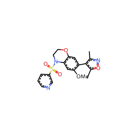 COc1cc2c(cc1-c1c(C)noc1C)OCCN2S(=O)(=O)c1cccnc1